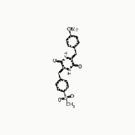 COc1ccc(C=c2[nH]c(=O)c(=Cc3ccc(S(C)(=O)=O)cc3)[nH]c2=O)cc1